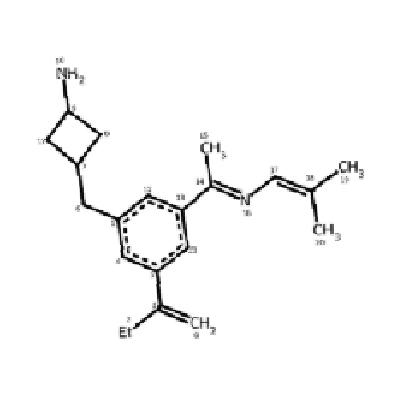 C=C(CC)c1cc(CC2CC(N)C2)cc(/C(C)=N/C=C(C)C)c1